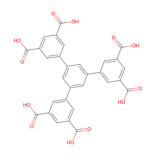 O=C(O)c1cc(C(=O)O)cc(-c2cc(-c3cc(C(=O)O)cc(C(=O)O)c3)cc(-c3cc(C(=O)O)cc(C(=O)O)c3)c2)c1